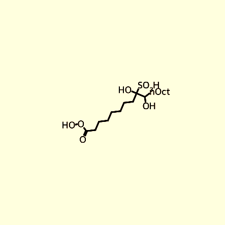 CCCCCCCCC(O)C(O)(CCCCCCCC(=O)OO)S(=O)(=O)O